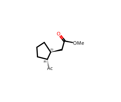 COC(=O)C[C@@H]1CCC[C@H]1C(C)=O